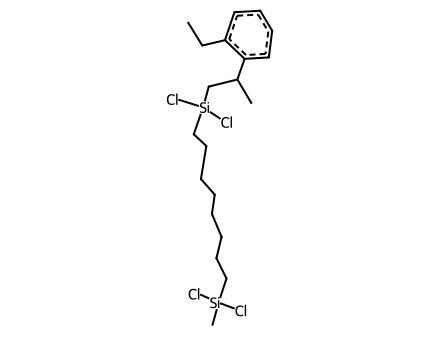 CCc1ccccc1C(C)C[Si](Cl)(Cl)CCCCCCCC[Si](C)(Cl)Cl